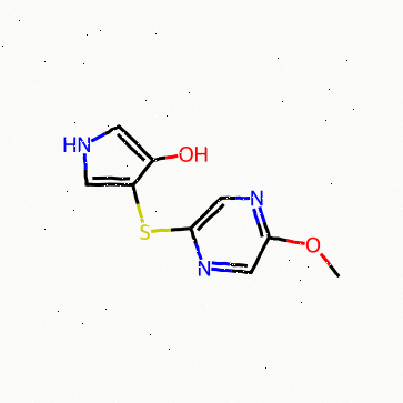 COc1cnc(Sc2c[nH]cc2O)cn1